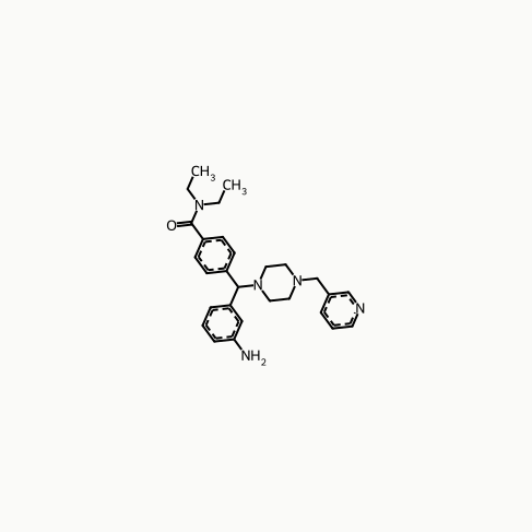 CCN(CC)C(=O)c1ccc(C(c2cccc(N)c2)N2CCN(Cc3cccnc3)CC2)cc1